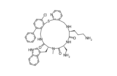 CN1C(=O)[C@H](CN)NC(=O)[C@H](CCCN)NCc2cccnc2Sc2c(Cl)ccc(-c3ccccc3)c2CNC(=O)[C@@H]1Cc1c[nH]c2ccccc12